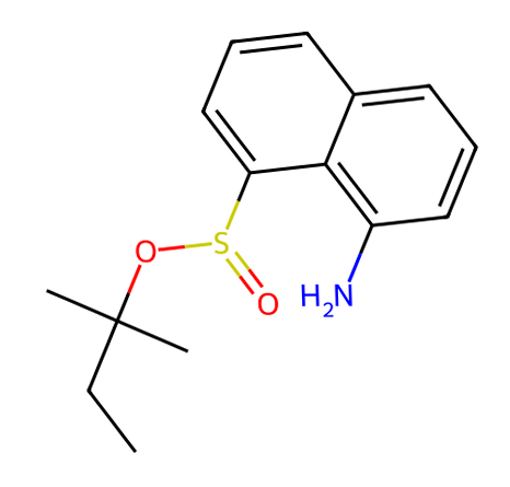 CCC(C)(C)OS(=O)c1cccc2cccc(N)c12